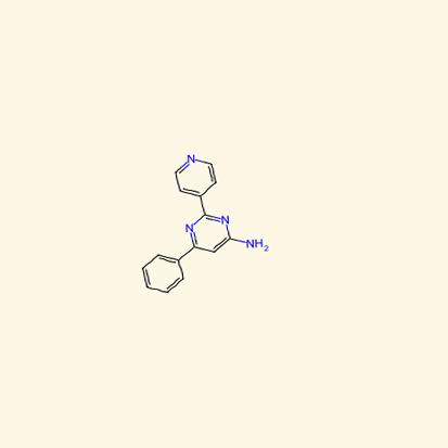 Nc1cc(-c2ccccc2)nc(-c2ccncc2)n1